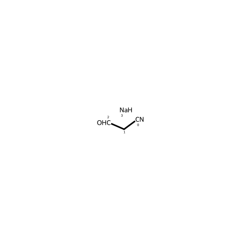 N#CCC=O.[NaH]